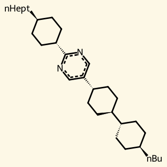 CCCCCCC[C@H]1CC[C@H](c2ncc([C@H]3CC[C@H]([C@H]4CC[C@H](CCCC)CC4)CC3)cn2)CC1